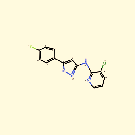 Fc1ccc(-c2cc(Nc3ncccc3Cl)n[nH]2)cc1